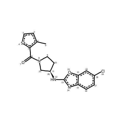 Cc1ccsc1C(=O)N1CC[C@@H](Nc2nc3ccc(Cl)cc3o2)C1